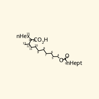 CCCCCCCC(=O)OCCCCCCCCC(C)C(CCCCCC)C(=O)O